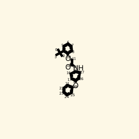 CC(C)(C)c1ccccc1OCC(=O)Nc1ccc(Oc2ccccc2)cc1